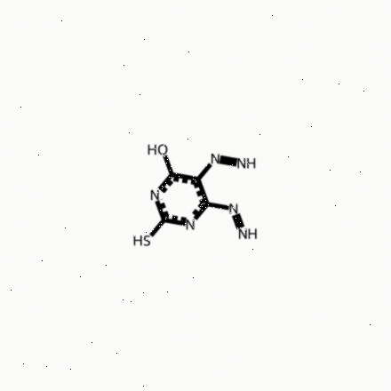 N=Nc1nc(S)nc(O)c1N=N